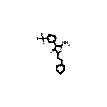 NC1=C(c2cccc(C(F)(F)F)c2)C(=O)C(CCc2ccccc2)S1